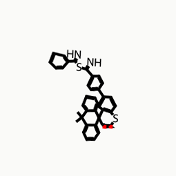 CC1(C)c2ccccc2C2(c3ccccc3Sc3ccc(-c4ccc(C(=N)SC(=N)c5ccccc5)cc4)cc32)c2ccccc21